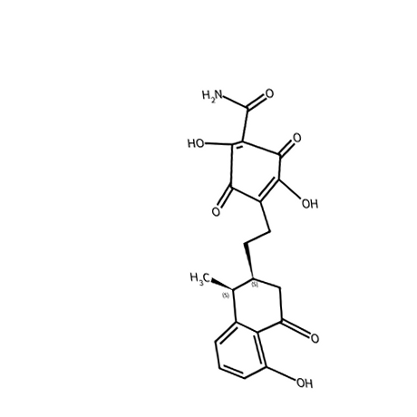 C[C@@H]1c2cccc(O)c2C(=O)C[C@@H]1CCC1=C(O)C(=O)C(C(N)=O)=C(O)C1=O